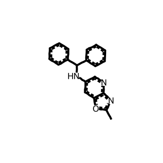 Cc1nc2ncc(NC(c3ccccc3)c3ccccc3)cc2o1